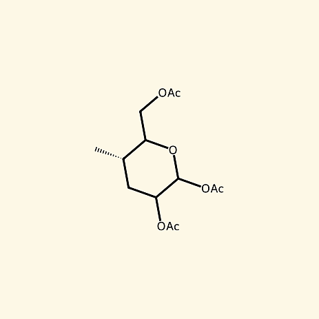 CC(=O)OCC1OC(OC(C)=O)C(OC(C)=O)C[C@@H]1C